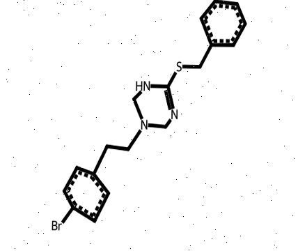 Brc1ccc(CCN2CN=C(SCc3ccccc3)NC2)cc1